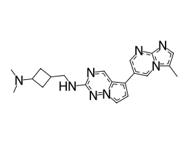 Cc1cnc2ncc(-c3ccn4nc(NCC5CC(N(C)C)C5)ncc34)cn12